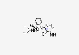 CCC(CC)NS(=O)(=O)c1ccccc1N/C(N)=C(\Cl)C=N